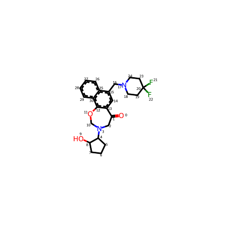 O=C1CN(C2CCCC2O)COc2c1cc(CN1CCC(F)(F)CC1)c1ccccc21